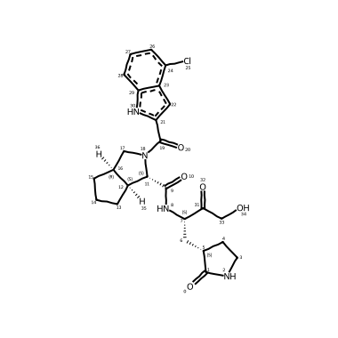 O=C1NCC[C@H]1C[C@H](NC(=O)[C@@H]1[C@H]2CCC[C@H]2CN1C(=O)c1cc2c(Cl)cccc2[nH]1)C(=O)CO